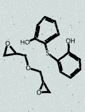 C(OCC1CO1)C1CO1.Oc1ccccc1Sc1ccccc1O